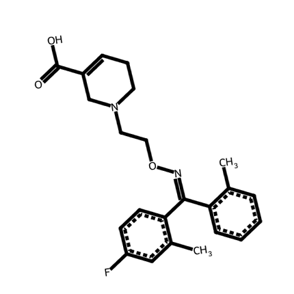 Cc1ccccc1C(=NOCCN1CCC=C(C(=O)O)C1)c1ccc(F)cc1C